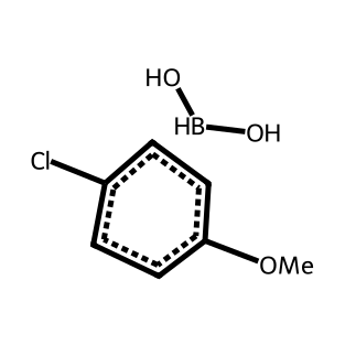 COc1ccc(Cl)cc1.OBO